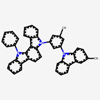 N#Cc1cc(-n2c3ccccc3c3cc(C#N)ccc32)cc(-n2c3ccccc3c3c2ccc2c4ccccc4n(-c4ccccc4)c23)c1